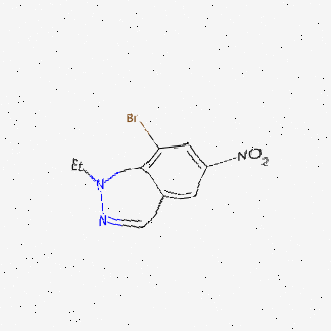 CCn1ncc2cc([N+](=O)[O-])cc(Br)c21